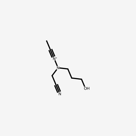 CC#[N+]N(CC#N)CCCO